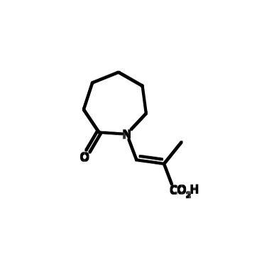 CC(=CN1CCCCCC1=O)C(=O)O